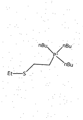 CCCC[P+](CCCC)(CCCC)CCSCC